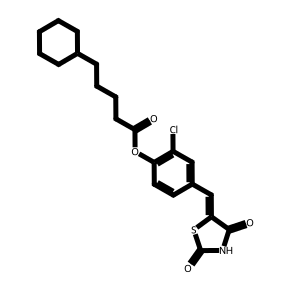 O=C(CCCCC1CCCCC1)Oc1ccc(/C=C2\SC(=O)NC2=O)cc1Cl